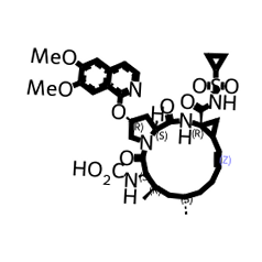 COc1cc2ccnc(O[C@@H]3C[C@H]4C(=O)N[C@]5(C(=O)NS(=O)(=O)C6CC6)CC5/C=C\CC[C@H](C)C[C@@H](C)[C@H](NC(=O)O)C(=O)N4C3)c2cc1OC